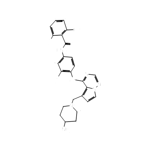 NC1CCN(Cc2ccn3ncnc(Oc4ccc(NC(=O)c5c(F)cccc5F)cc4F)c23)CC1